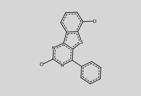 Clc1nc(-c2ccccc2)c2sc3c(Cl)cccc3c2n1